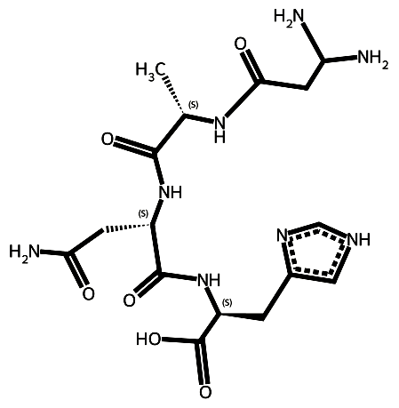 C[C@H](NC(=O)CC(N)N)C(=O)N[C@@H](CC(N)=O)C(=O)N[C@@H](Cc1c[nH]cn1)C(=O)O